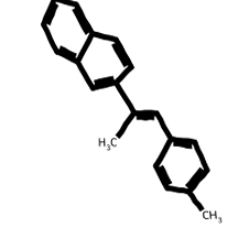 CC(=Cc1ccc(C)cc1)c1ccc2ccccc2c1